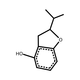 CC(C)C1Cc2c(O)cccc2O1